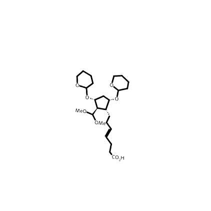 COC(OC)[C@@H]1[C@@H](CCC=CCCC(=O)O)[C@@H](OC2CCCCO2)C[C@H]1OC1CCCCO1